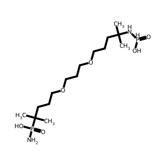 CC(C)(CCCOCCCOCCCC(C)(C)P(N)(=O)O)N[PH](=O)O